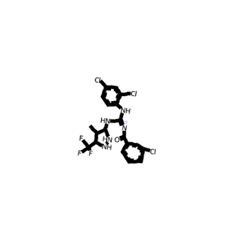 CC1C(N/C(=N\C(=O)c2cccc(Cl)c2)Nc2ccc(Cl)cc2Cl)NNC1C(F)(F)F